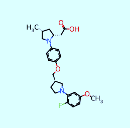 COc1ccc(F)c(N2CC[C@@H](COc3ccc(N4C[C@H](C)C[C@@H]4CC(=O)O)cc3)C2)c1